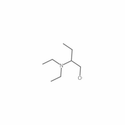 CCC(C[O])N(CC)CC